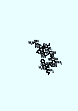 CC[C@H](C)[C@H](NC(=O)[C@@H](CCCNC(=N)N)NC(=O)[C@H](CC(C)C)NC(=O)[C@@H](C)[C@H](O)C(C)C)C(=O)N[C@H](C(=O)NCC(=O)N[C@H](C(=O)N[C@@H](CO)C(=O)O[C@H](c1ccccc1)[C@H](NC(=O)[C@@H](N)CC(C)C)C(N)=O)[C@H](O)C(N)=O)[C@H](C)O